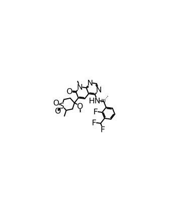 COC1(c2cc3c(N[C@H](C)c4cccc(C(F)F)c4F)ncnc3n(C)c2=O)CCS(=O)(=O)C(C)C1